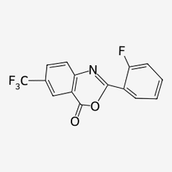 O=c1oc(-c2ccccc2F)nc2ccc(C(F)(F)F)cc12